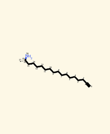 C#CCCCCCCCCCCCCCC[C@H](C)N